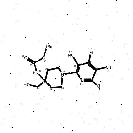 CCc1c(C#N)c(Cl)nc(N2CCC(CO)(NC(=O)OC(C)(C)C)CC2)c1C#N